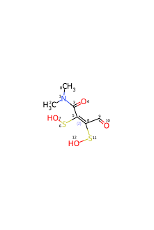 CN(C)C(=O)/C(SO)=C(\C=O)SO